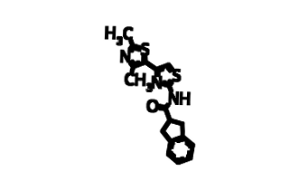 Cc1nc(C)c(-c2csc(NC(=O)C3Cc4ccccc4C3)n2)s1